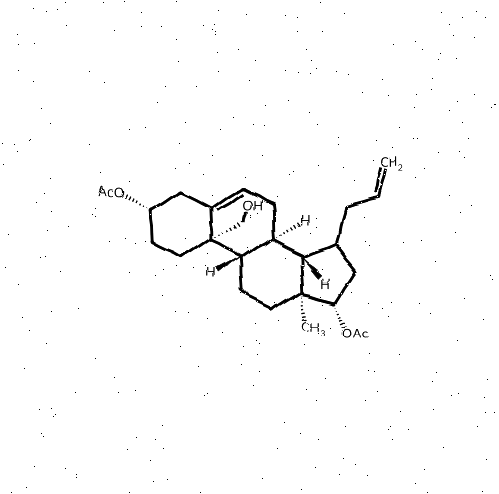 C=CCC1C[C@H](OC(C)=O)[C@@]2(C)CC[C@H]3[C@@H](CC=C4C[C@@H](OC(C)=O)CC[C@@]43CO)[C@H]12